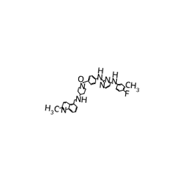 Cc1ccc2c(CNC3CCN(C(=O)c4ccc(Nc5nccc(Nc6ccc(F)c(C)c6)n5)cc4)CC3)cccc2n1